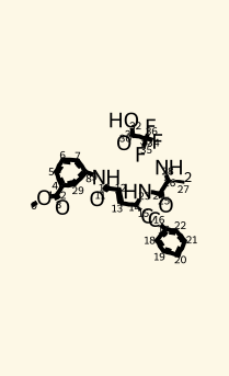 COC(=O)c1cccc(NC(=O)/C=C/[C@H](CCc2ccccc2)NC(=O)[C@H](C)N)c1.O=C(O)C(F)(F)F